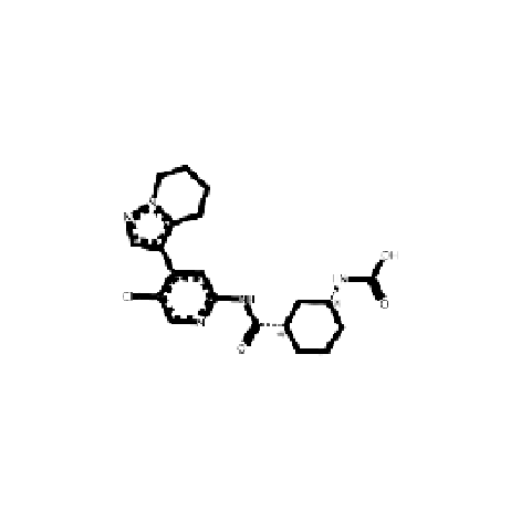 O=C(O)N[C@@H]1CCC[C@H](C(=O)Nc2cc(-c3cnn4c3CCCC4)c(Cl)cn2)C1